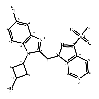 CS(=O)(=O)c1nn(Cc2nc3cc(Cl)ccc3n2C2CC(O)C2)c2cnccc12